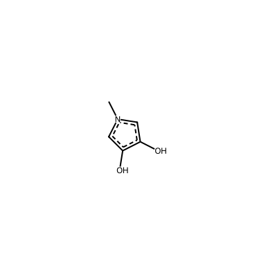 Cn1cc(O)c(O)c1